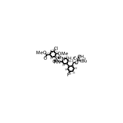 COC(=O)c1cc(Cl)c(OC)c(S(=O)(=O)Nc2cc(-c3cc(F)ccc3CO[Si](C)(C)C(C)(C)C)ccn2)c1